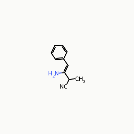 CC(C#N)C(N)=Cc1ccccc1